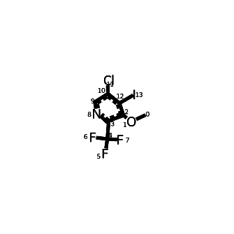 COc1c(C(F)(F)F)ncc(Cl)c1I